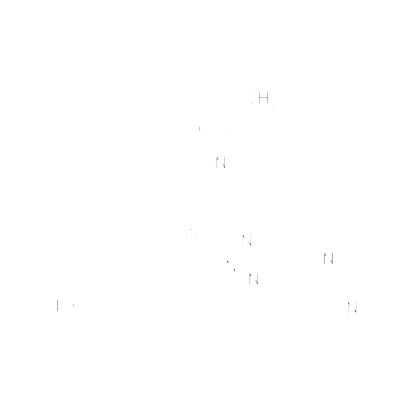 C=CC(=O)N1CC(OCc2ccc(C(F)(F)F)cc2)C(n2cc(-c3ccncn3)nn2)C1